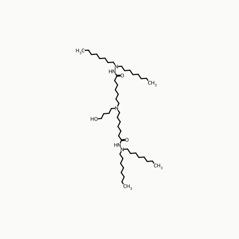 CCCCCCCCN(CCCCCCCC)NC(=O)CCCCCCN(CCCCO)CCCCCCC(=O)NN(CCCCCCCC)CCCCCCCC